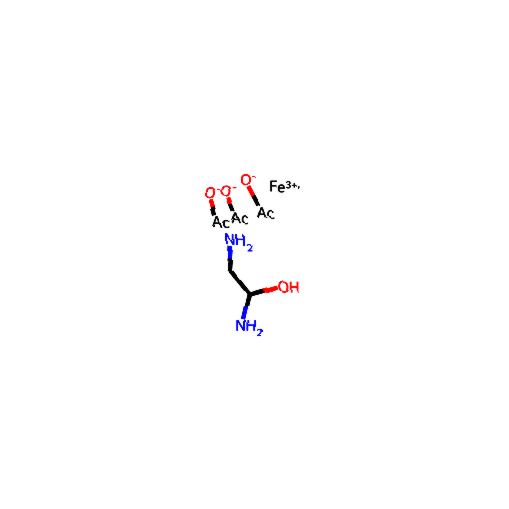 CC(=O)[O-].CC(=O)[O-].CC(=O)[O-].NCC(N)O.[Fe+3]